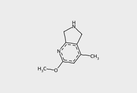 COc1cc(C)c2c(n1)CNC2